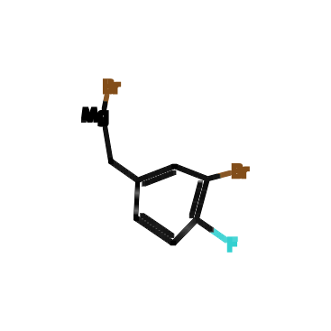 Fc1ccc([CH2][Mg][Br])cc1Br